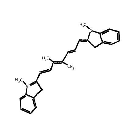 CC(/C=C/C=C1\Cc2ccccc2N1C)=C(C)\C=C\C1=[N+](C)c2ccccc2C1